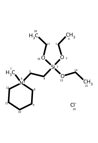 CCO[Si](CC[N+]1(C)CCCCC1)(OCC)OCC.[Cl-]